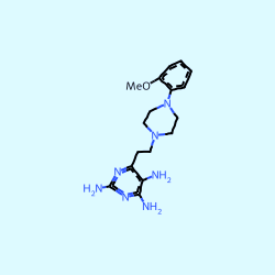 COc1ccccc1N1CCN(CCc2nc(N)nc(N)c2N)CC1